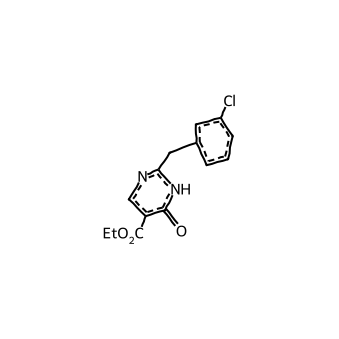 CCOC(=O)c1cnc(Cc2cccc(Cl)c2)[nH]c1=O